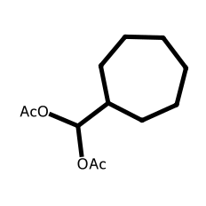 CC(=O)OC(OC(C)=O)C1CCCCCC1